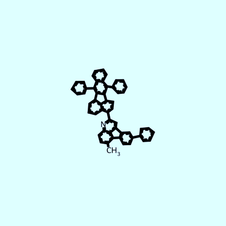 Cc1ccc2nc(-c3ccc4c5c(cccc35)-c3c-4c(-c4ccccc4)c4ccccc4c3-c3ccccc3)cc3c2c1-c1ccc(-c2ccccc2)cc1-3